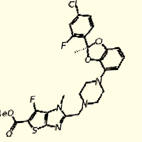 COC(=O)c1sc2nc(CN3CCN(c4cccc5c4O[C@@](C)(c4ccc(Cl)cc4F)O5)CC3)n(C)c2c1F